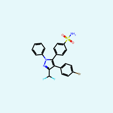 NS(=O)(=O)c1ccc(-c2c(-c3ccc(Br)cc3)c(C(F)F)nn2-c2ccccc2)cc1